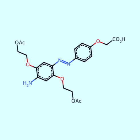 CC(=O)OCCOc1cc(/N=N/c2ccc(OCC(=O)O)cc2)c(OCCOC(C)=O)cc1N